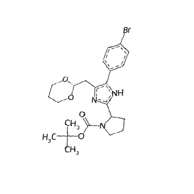 CC(C)(C)OC(=O)N1CCCC1c1nc(CC2OCCCO2)c(-c2ccc(Br)cc2)[nH]1